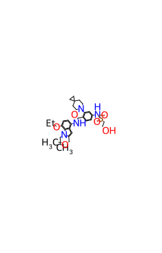 CCOc1ccc(NC(=O)c2ccc(NS(=O)(=O)CCO)cc2N2CCC3(CC2)CC3)c2cc3n(c12)CC(C)(C)OC3